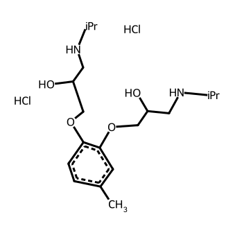 Cc1ccc(OCC(O)CNC(C)C)c(OCC(O)CNC(C)C)c1.Cl.Cl